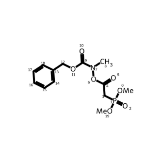 COP(=O)(CC(=O)ON(C)C(=O)OCc1ccccc1)OC